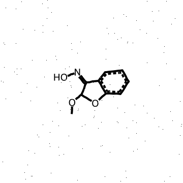 COC1Oc2ccccc2/C1=N/O